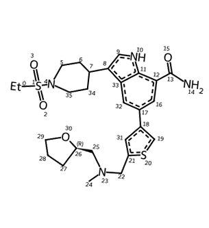 CCS(=O)(=O)N1CCC(c2c[nH]c3c(C(N)=O)cc(-c4csc(CN(C)C[C@H]5CCCO5)c4)cc23)CC1